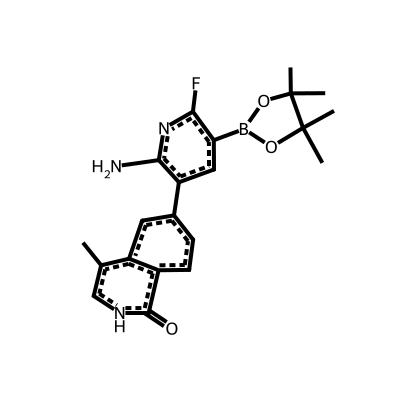 Cc1c[nH]c(=O)c2ccc(-c3cc(B4OC(C)(C)C(C)(C)O4)c(F)nc3N)cc12